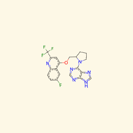 Fc1ccc2nc(C(F)(F)F)cc(OCC3CCCN3c3ncnc4[nH]cnc34)c2c1